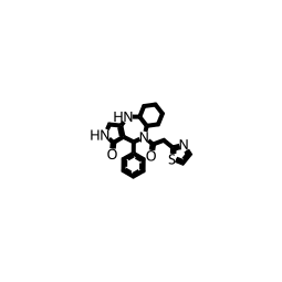 O=C1NCC2=C1C(c1ccccc1)N(C(=O)Cc1nccs1)C1CCCCC1N2